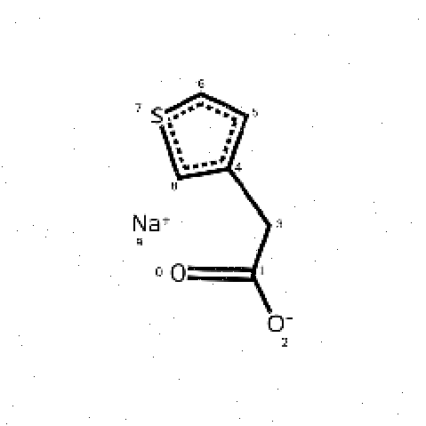 O=C([O-])Cc1ccsc1.[Na+]